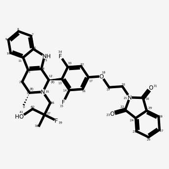 C[C@@H]1Cc2c([nH]c3ccccc23)[C@@H](c2c(F)cc(OCCN3C(=O)c4ccccc4C3=O)cc2F)N1CC(C)(F)CO